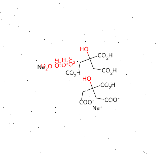 O.O.O.O.O=C(O)CC(O)(CC(=O)O)C(=O)O.O=C([O-])CC(O)(CC(=O)[O-])C(=O)O.[Na+].[Na+]